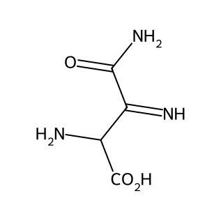 N=C(C(N)=O)C(N)C(=O)O